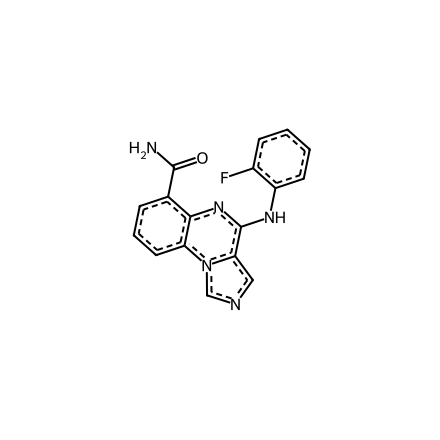 NC(=O)c1cccc2c1nc(Nc1ccccc1F)c1cncn12